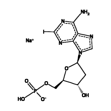 Nc1nc(I)nc2c1ncn2[C@H]1C[C@H](O)[C@@H](COP(=O)([O-])O)O1.[Na+]